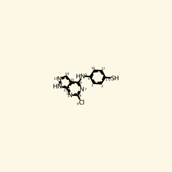 Sc1ccc(Nc2nc(Cl)nc3[nH]ncc23)cc1